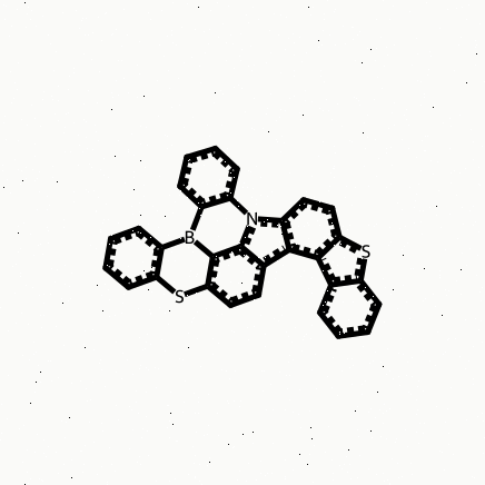 c1ccc2c(c1)Sc1ccc3c4c5c(ccc4n4c3c1B2c1ccccc1-4)sc1ccccc15